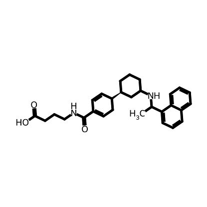 CC(NC1CCC[C@H](C2C=CC(C(=O)NCCCC(=O)O)=CC2)C1)c1cccc2ccccc12